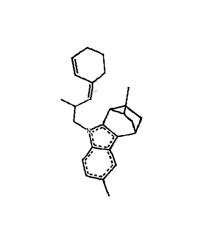 Cc1ccc2c(c1)c1c(n2CC(C)/C=C2\C=CCCC2)C2CCC1CC2C